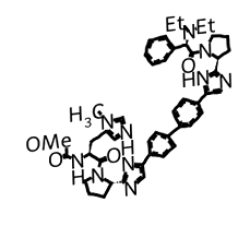 CCN(CC)[C@@H](C(=O)N1CCC[C@H]1c1ncc(-c2ccc(-c3ccc(-c4cnc([C@@H]5CCCN5C(=O)[C@H](Cc5cncn5C)NC(=O)OC)[nH]4)cc3)cc2)[nH]1)c1ccccc1